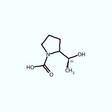 C[C@H](O)C1CCCN1C(=O)O